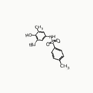 Cc1ccc(S(=O)(=O)Nc2cc(C)c(O)c(C(C)(C)C)c2)cc1